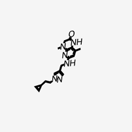 Cc1cc(NCc2cnn(CCC3CC3)c2)nc2c1NC(=O)CN2C